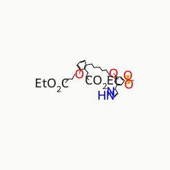 CCOC(=O)CCCOc1cccc(CCCCCCOc2cc(-c3cc[nH]n3)cc(S(C)(=O)=O)c2)c1CCC(=O)OCC